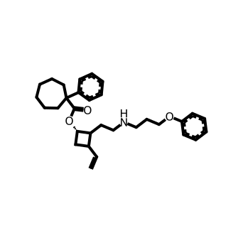 C=CC1C[C@H](OC(=O)C2(c3ccccc3)CCCCCC2)C1CCNCCCOc1ccccc1